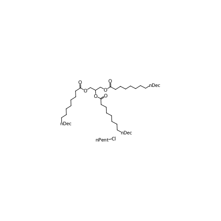 CCCCCCCCCCCCCCCCCC(=O)OCC(COC(=O)CCCCCCCCCCCCCCCCC)OC(=O)CCCCCCCCCCCCCCCCC.CCCCCCl